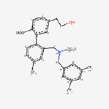 COc1ccc(CCO)cc1-c1ccc(C(F)(F)F)cc1CN(Cc1cc(C(F)(F)F)cc(C(F)(F)F)c1)C(=O)O